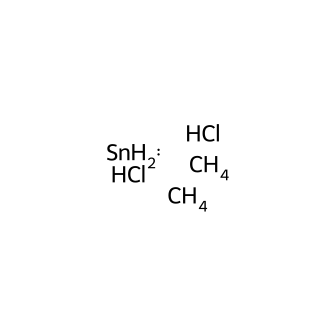 C.C.Cl.Cl.[SnH2]